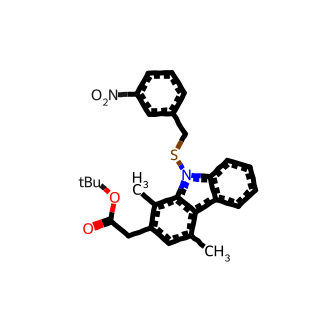 Cc1cc(CC(=O)OC(C)(C)C)c(C)c2c1c1ccccc1n2SCc1cccc([N+](=O)[O-])c1